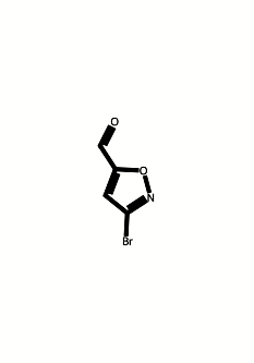 O=Cc1cc(Br)no1